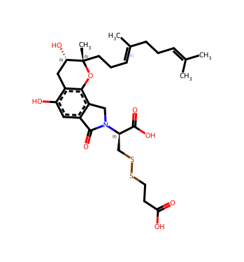 CC(C)=CCC/C(C)=C/CC[C@]1(C)Oc2c(c(O)cc3c2CN([C@H](CSSCCC(=O)O)C(=O)O)C3=O)C[C@@H]1O